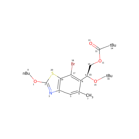 CCCCOc1nc2cc(C)c([C@@H](COC(=O)C(C)(C)C)OC(C)(C)C)c(Br)c2s1